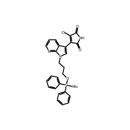 CC(C)(C)[Si](OCCCn1cc(C2=C(Cl)C(=O)NC2=O)c2cccnc21)(c1ccccc1)c1ccccc1